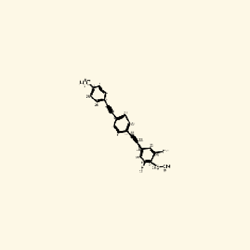 Cc1ccc(C#Cc2ccc(C#Cc3cc(F)c(SC#N)c(F)c3)cc2)cc1